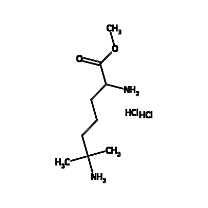 COC(=O)C(N)CCCC(C)(C)N.Cl.Cl